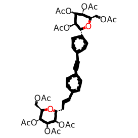 CC(=O)OC[C@H]1O[C@H](CC=Cc2ccc(C#Cc3ccc([C@H]4O[C@H](COC(C)=O)[C@@H](OC(C)=O)[C@H](OC(C)=O)[C@@H]4OC(C)=O)cc3)cc2)[C@@H](OC(C)=O)[C@@H](OC(C)=O)[C@@H]1OC(C)=O